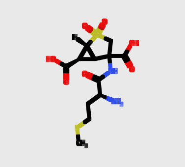 CSCC[C@H](N)C(=O)NC1(C(=O)O)CS(=O)(=O)[C@@H]2C1[C@H]2C(=O)O